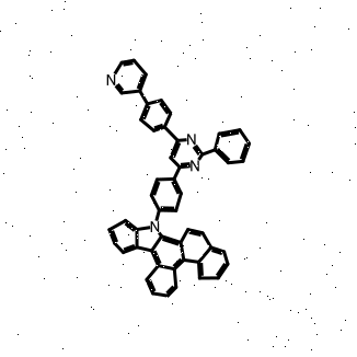 c1ccc(-c2nc(-c3ccc(-c4cccnc4)cc3)cc(-c3ccc(-n4c5ccccc5c5c6ccccc6c6c7ccccc7ccc6c54)cc3)n2)cc1